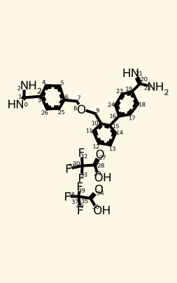 N=C(N)c1ccc(COCc2ccccc2-c2ccc(C(=N)N)cc2)cc1.O=C(O)C(F)(F)F.O=C(O)C(F)(F)F